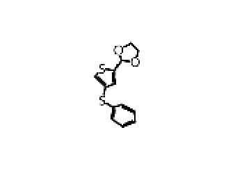 c1ccc(Sc2csc(C3OCCO3)c2)cc1